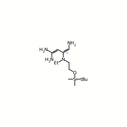 CCN(CCO[Si](C)(C)C(C)(C)C)/C(C=C(N)N)=C/N